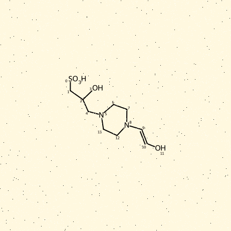 O=S(=O)(O)CC(O)CN1CCN(C=CO)CC1